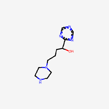 OC(CCCN1CCNCC1)c1ncncn1